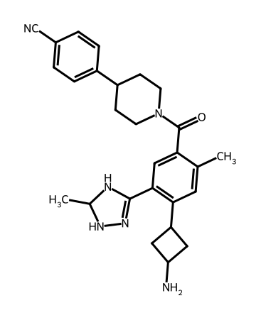 Cc1cc(C2CC(N)C2)c(C2=NNC(C)N2)cc1C(=O)N1CCC(c2ccc(C#N)cc2)CC1